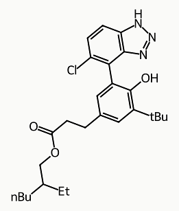 CCCCC(CC)COC(=O)CCc1cc(-c2c(Cl)ccc3[nH]nnc23)c(O)c(C(C)(C)C)c1